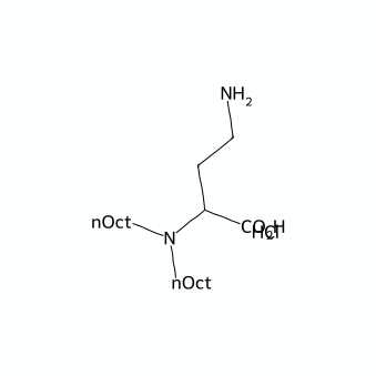 CCCCCCCCN(CCCCCCCC)C(CCN)C(=O)O.Cl